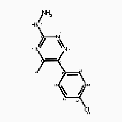 Cc1nc(NN)nnc1-c1ccc(Cl)cc1